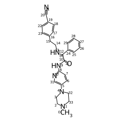 CN1CCN(c2ccc(NC(=O)[C@H](NCCc3ccc(C#N)cc3)c3ccccc3)nc2)CC1